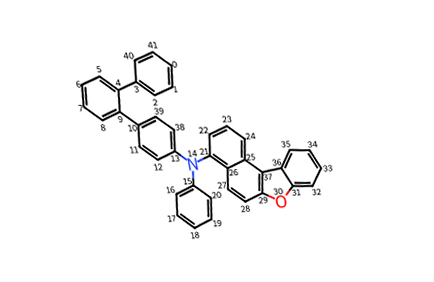 c1ccc(-c2ccccc2-c2ccc(N(c3ccccc3)c3cccc4c3ccc3oc5ccccc5c34)cc2)cc1